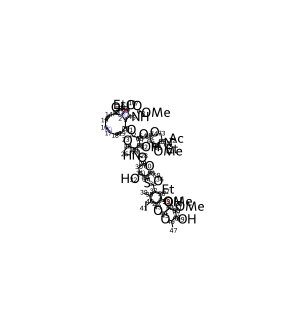 CC/C=C1/C2=C(NC(=O)OC)C(=O)C[C@@]1(O)C#C/C=C\C#C[C@@H]2OC1O[C@H](C)[C@@H](NO[C@H]2C[C@H](O)[C@H](SC(=O)c3c(C)c(I)c(OC4OC(C)[C@H](O)[C@@H](OC)[C@H]4O)c(OC)c3CC)[C@@H](C)O2)[C@@H](O)[C@H]1O[C@H]1C[C@H](OC)[C@@H](N(CC)C(C)=O)CO1